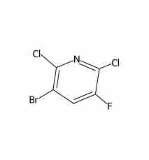 Fc1cc(Br)c(Cl)nc1Cl